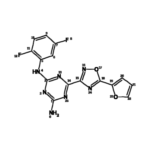 Nc1nc(Nc2cc(F)ccc2F)nc(-c2noc(-c3ccco3)n2)n1